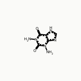 Nn1c(=O)c2[nH]cnc2n(N)c1=O